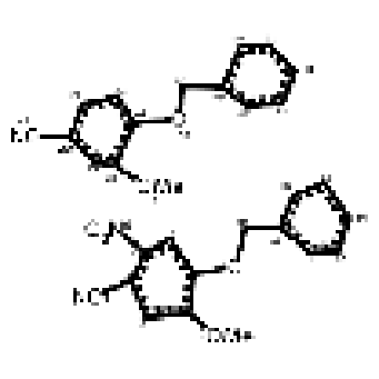 COc1cc(C#N)c([N+](=O)[O-])cc1OCc1ccccc1.COc1cc(C#N)ccc1OCc1ccccc1